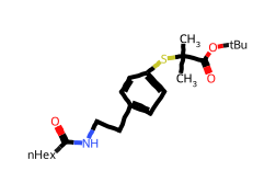 CCCCCCC(=O)NCCc1ccc(SC(C)(C)C(=O)OC(C)(C)C)cc1